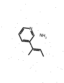 CC=C(C)c1cccnc1.N